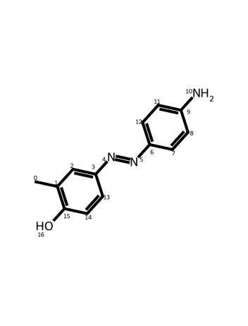 Cc1cc(N=Nc2ccc(N)cc2)ccc1O